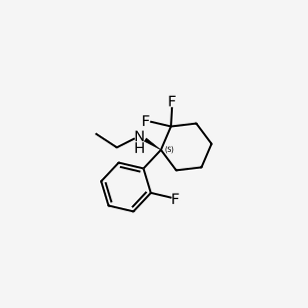 CCN[C@]1(c2ccccc2F)CCCCC1(F)F